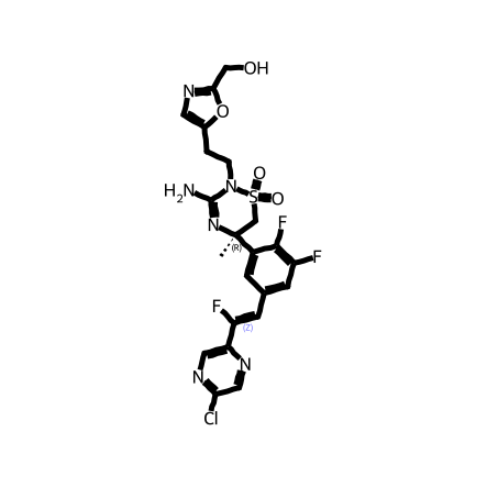 C[C@@]1(c2cc(/C=C(\F)c3cnc(Cl)cn3)cc(F)c2F)CS(=O)(=O)N(CCc2cnc(CO)o2)C(N)=N1